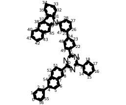 c1ccc(-c2ccc3cc(-c4nc(-c5ccccc5)nc(-c5ccc(-c6cccc(-n7c8ccccc8c8cc9ccccc9cc87)c6)cc5)n4)ccc3c2)cc1